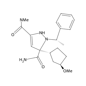 CNC(=O)C1=CC(C(N)=O)([C@@H]2CC[C@@H](OC)C2)N([C@@H](C)c2ccccc2)N1